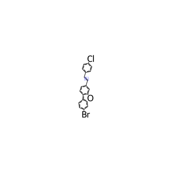 Clc1ccc(/C=C/c2ccc3c(c2)oc2cc(Br)ccc23)cc1